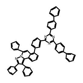 c1ccc(-c2ccc(-c3nc(-c4ccc(-c5ccccc5)cc4)nc(-c4cccc(-c5cccc6c5cc(-c5ccccc5)n5nc(-c7ccccc7)c(-c7ccccc7)c65)c4)n3)cc2)cc1